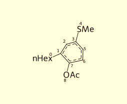 CCCCCCc1cc(SC)ccc1OC(C)=O